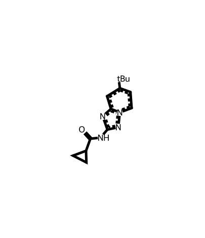 CC(C)(C)c1ccn2nc(NC(=O)C3CC3)nc2c1